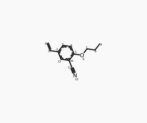 C=[C]c1ccc(OCCC)c(C#N)c1